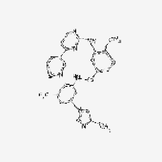 Cc1cn(-c2cc(NOc3ccc(C)c(Nc4nccc(-c5cccnc5)n4)c3)cc(C(F)(F)F)c2)cn1